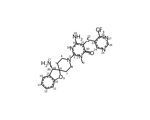 Cn1c(N2CCC3(CC2)Oc2ccccc2[C@H]3N)nc(N)c(Sc2cncnc2C(F)(F)F)c1=O